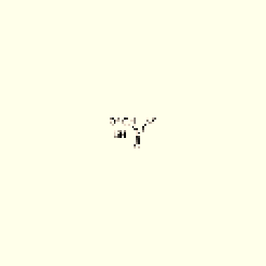 O=[N+]([O-])O.[LiH].[O-2]